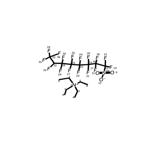 CC[N+](CC)(CC)CC.O=S(=O)([O-])C(F)(F)C(F)(F)C(F)(F)C(F)(F)C(F)(F)C(F)(F)C(F)C(F)(F)F